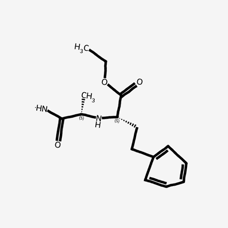 CCOC(=O)[C@H](CCc1ccccc1)N[C@@H](C)C([NH])=O